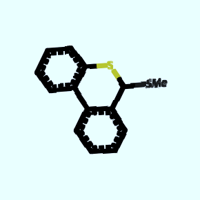 CSC1Sc2ccccc2-c2ccccc21